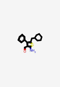 Nc1sc(CC2CCCCC2)c(-c2ccccc2)c1C=O